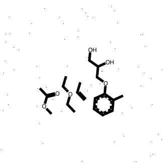 C=CC.CCOCC.COC(C)=O.Cc1ccccc1OCC(O)CO